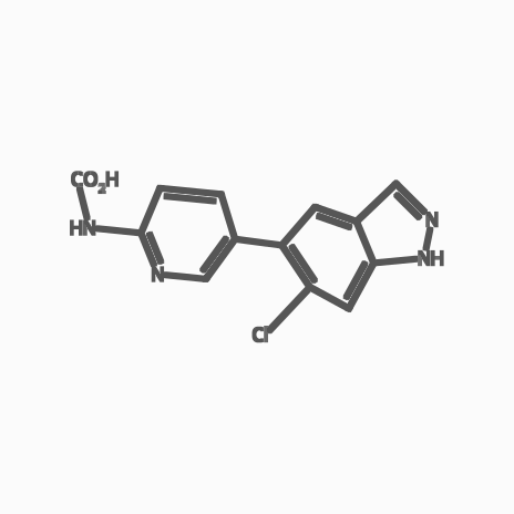 O=C(O)Nc1ccc(-c2cc3cn[nH]c3cc2Cl)cn1